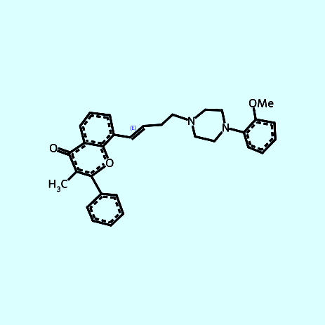 COc1ccccc1N1CCN(CC/C=C/c2cccc3c(=O)c(C)c(-c4ccccc4)oc23)CC1